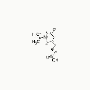 CC(C)N1CC(F)CC(CSCC(=O)O)C1